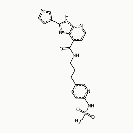 CS(=O)(=O)Nc1ccc(CCCNC(=O)c2ccnc3[nH]c(-c4ccsc4)nc23)cn1